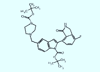 CC(C)(C)OC(=O)N1CCN(Cc2ccc3c(c2)cc(-c2ccc(F)c4c2C(=O)NC4)n3C(=O)OC(C)(C)C)CC1